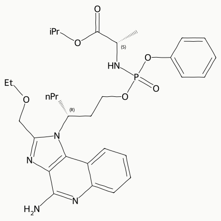 CCC[C@H](CCOP(=O)(N[C@@H](C)C(=O)OC(C)C)Oc1ccccc1)n1c(COCC)nc2c(N)nc3ccccc3c21